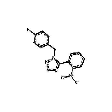 O=[N+]([O-])c1ccccc1-c1nnnn1Cc1ccc(F)cc1